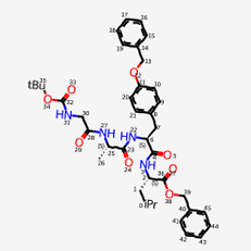 CC(C)C[C@H](NC(=O)[C@H](Cc1ccc(OCc2ccccc2)cc1)NC(=O)[C@H](C)NC(=O)CNC(=O)OC(C)(C)C)C(=O)OCc1ccccc1